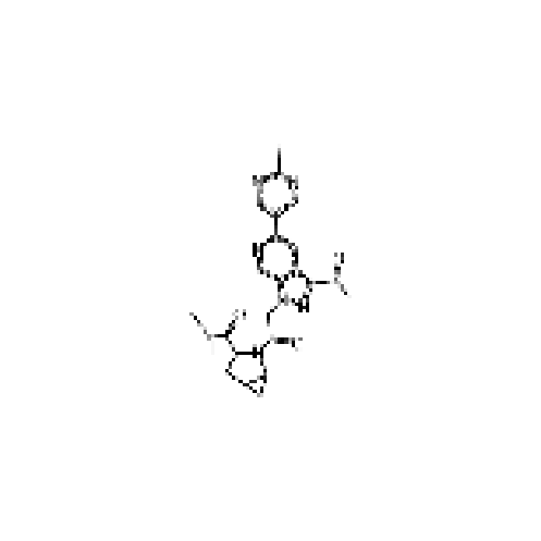 CNC(=O)C1CC2CC2N1C(=O)Cn1nc(C(C)=O)c2cc(-c3cnc(C)nc3)ncc21